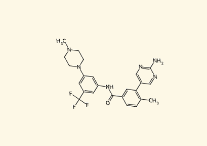 Cc1ccc(C(=O)Nc2cc(N3CCN(C)CC3)cc(C(F)(F)F)c2)cc1-c1cnc(N)nc1